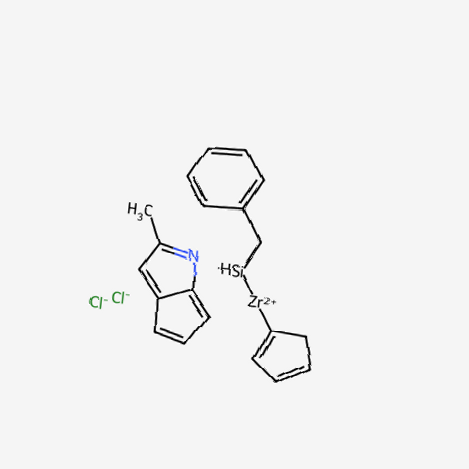 C1=CC[C]([Zr+2][SiH]Cc2ccccc2)=C1.CC1=NC2=CC=CC2=C1.[Cl-].[Cl-]